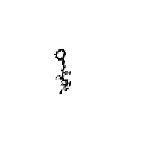 CC[S+]([O-])c1ncc(C(=O)NCCCCC2CCCCCCC2)s1